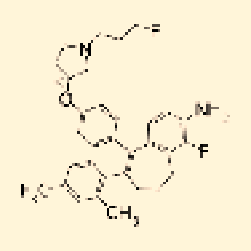 Cc1cc(C(F)(F)F)ccc1C1=C(c2ccc(O[C@H]3CCN(CCCF)C3)cc2)c2ccc(N)c(F)c2CCC1